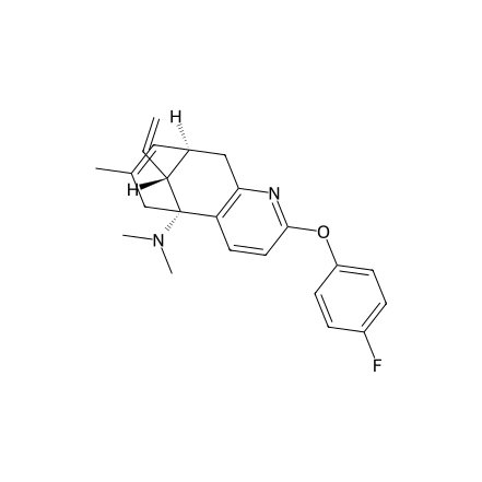 C=C[C@@H]1[C@H]2C=C(C)C[C@]1(N(C)C)c1ccc(Oc3ccc(F)cc3)nc1C2